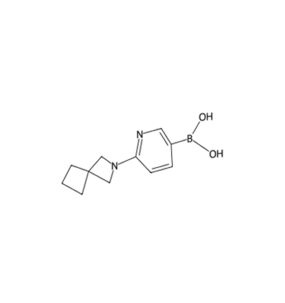 OB(O)c1ccc(N2CC3(CCC3)C2)nc1